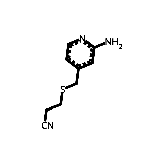 N#CCCSCc1ccnc(N)c1